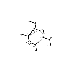 CC(=O)OC(C)C.CCCOCCC